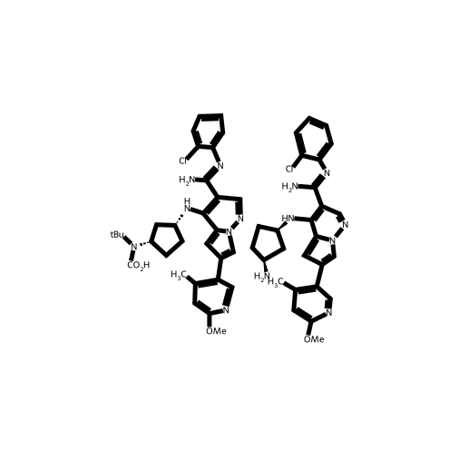 COc1cc(C)c(-c2cc3c(N[C@@H]4CC[C@H](N(C(=O)O)C(C)(C)C)C4)c(/C(N)=N/c4ccccc4Cl)cnn3c2)cn1.COc1cc(C)c(-c2cc3c(N[C@@H]4CC[C@H](N)C4)c(/C(N)=N/c4ccccc4Cl)cnn3c2)cn1